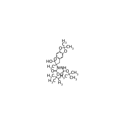 CC(C)(C)OC(=O)NN(C(=O)OC(C)(C)C)[C@@](C)(Cc1ccc2c(c1)OC(C)(C)O2)C(=O)O